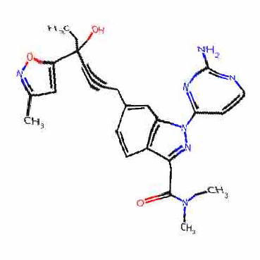 Cc1cc(C(C)(O)C#Cc2ccc3c(C(=O)N(C)C)nn(-c4ccnc(N)n4)c3c2)on1